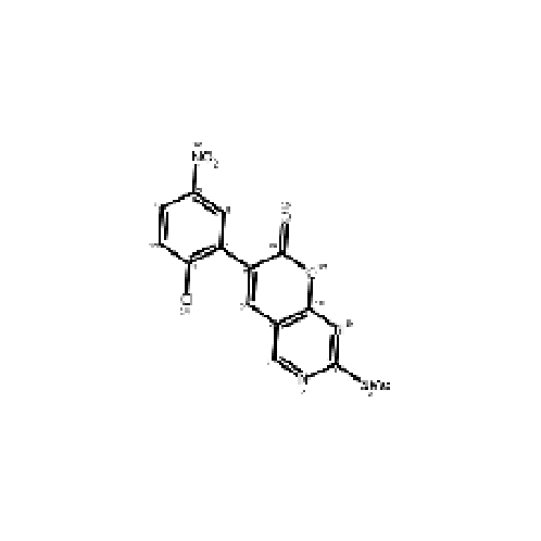 CSc1ncc2cc(-c3cc([N+](=O)[O-])ccc3Cl)c(=O)oc2n1